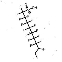 CCC(F)C(F)(F)C(F)(F)C(F)(F)C(F)(F)C(F)(F)C(F)(F)C(F)(F)S(=O)(=O)O